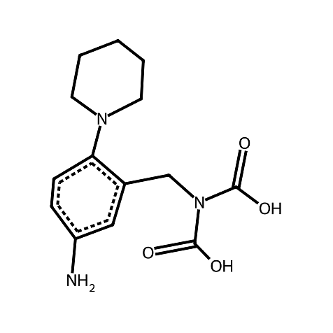 Nc1ccc(N2CCCCC2)c(CN(C(=O)O)C(=O)O)c1